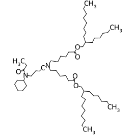 CCCCCCCCC(CCCCCC)COC(=O)CCCCCN(CCCCCC(=O)OCC(CCCCCC)CCCCCCCC)CCCCN(C(=O)CC)C1CCCCC1